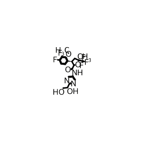 COc1c([C@H]2C[C@@](C)(C(F)(F)F)OC2C(=O)Nc2cnc([C@H](O)CO)nc2)ccc(F)c1F